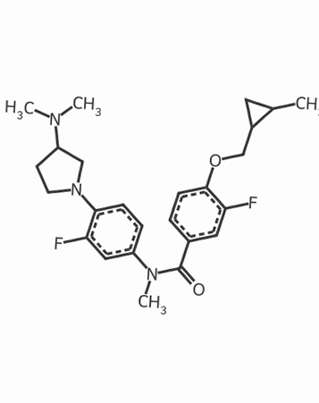 CC1CC1COc1ccc(C(=O)N(C)c2ccc(N3CCC(N(C)C)C3)c(F)c2)cc1F